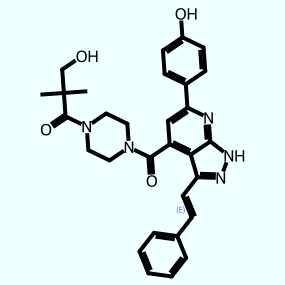 CC(C)(CO)C(=O)N1CCN(C(=O)c2cc(-c3ccc(O)cc3)nc3[nH]nc(/C=C/c4ccccc4)c23)CC1